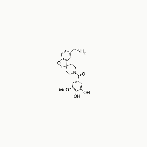 COc1cc(C(=O)N2CCC3(CC2)COc2ccc(CN)cc23)cc(O)c1O